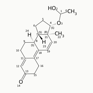 CC(O)O[C@H]1CC[C@H]2[C@@H]3CCC4=CC(=O)CCC4=C3C=C[C@]12C